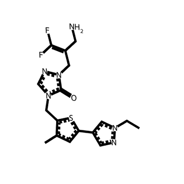 CCn1cc(-c2cc(C)c(Cn3cnn(CC(CN)=C(F)F)c3=O)s2)cn1